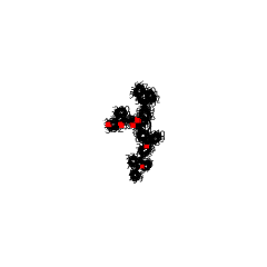 c1ccc(-c2c3ccccc3c(-c3ccc(-n4c5ccccc5c5cc(-c6cc(-c7cc8ccccc8c8ccccc78)cc7c6oc6ccc(-c8cc9ccccc9c9ccccc89)cc67)ccc54)cc3)c3ccccc23)cc1